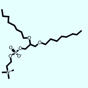 CCCCCCCCOCC(COP(=O)([O-])OCC[N+](C)(C)C)OCCCCCCCC